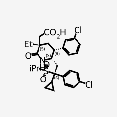 CC[C@@]1(CC(=O)O)C[C@H](c2cccc(Cl)c2)[C@H](C[C@@](c2ccc(Cl)cc2)(C2CC2)S(=O)(=O)C(C)C)NC1=O